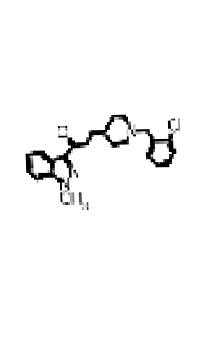 Cn1nc(C(=O)CCC2CCN(Cc3ccccc3Cl)CC2)c2ccccc21